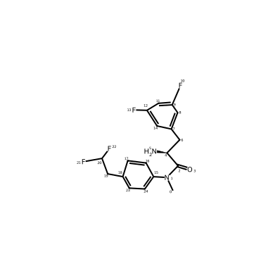 CN(C(=O)[C@@H](N)Cc1cc(F)cc(F)c1)c1ccc(CC(F)F)cc1